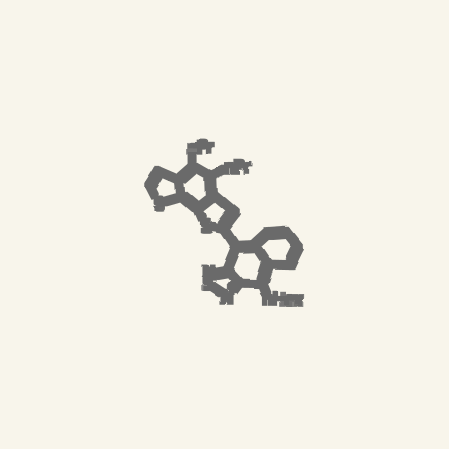 CCCCCCc1c2ccccc2c(-c2cc3c(CCC)c(CCC)c4ccsc4c3s2)c2nsnc12